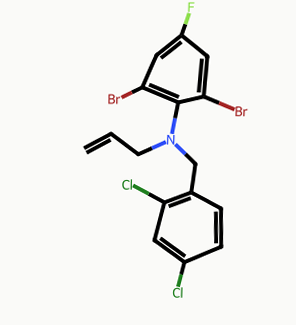 C=CCN(Cc1ccc(Cl)cc1Cl)c1c(Br)cc(F)cc1Br